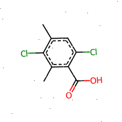 Cc1cc(Cl)c(C(=O)O)c(C)c1Cl